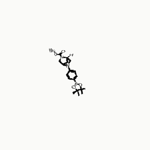 CC(C)(C)OC(=O)N1CC2C[C@H]1CN2c1ccc(B2OC(C)(C)C(C)(C)O2)cc1